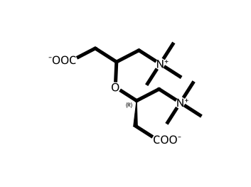 C[N+](C)(C)CC(CC(=O)[O-])O[C@H](CC(=O)[O-])C[N+](C)(C)C